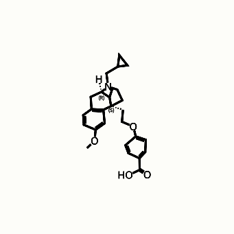 COc1ccc2c(c1)[C@]1(CCOc3ccc(C(=O)O)cc3)CCN(CC3CC3)[C@H](C2)C1C